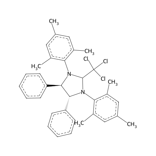 Cc1cc(C)c(N2C(C(Cl)(Cl)Cl)N(c3c(C)cc(C)cc3C)[C@H](c3ccccc3)[C@H]2c2ccccc2)c(C)c1